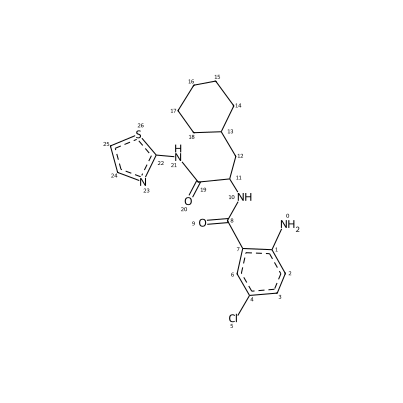 Nc1ccc(Cl)cc1C(=O)NC(CC1CCCCC1)C(=O)Nc1nccs1